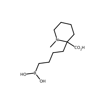 CN1CCCCC1(CCCCB(O)O)C(=O)O